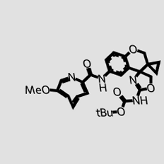 COC1=C\C=C\C=C(C(=O)Nc2ccc3c(c2)C2(COC(NC(=O)OC(C)(C)C)=N2)C2(CC2)CO3)/N=C\1